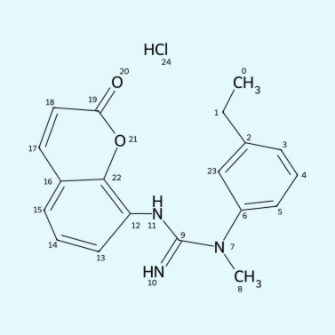 CCc1cccc(N(C)C(=N)Nc2cccc3ccc(=O)oc23)c1.Cl